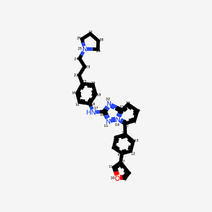 c1cc(-c2ccc(-c3ccoc3)cc2)n2nc(Nc3ccc(CCCN4CCCC4)cc3)nc2c1